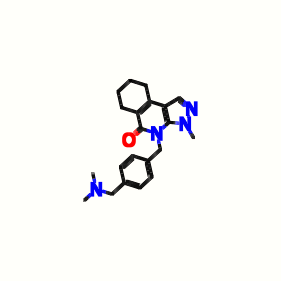 CN(C)Cc1ccc(Cn2c(=O)c3c(c4cnn(C)c42)CCCC3)cc1